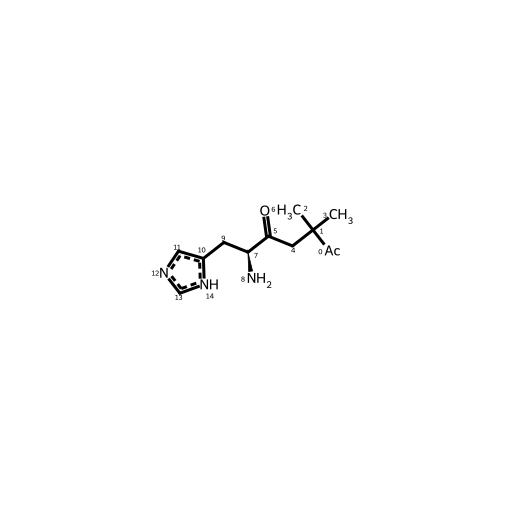 CC(=O)C(C)(C)CC(=O)[C@@H](N)Cc1cnc[nH]1